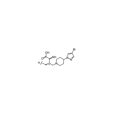 CC[C@H](CN1CCC(n2cc(Br)cn2)CC1)C(=N)C(=O)O